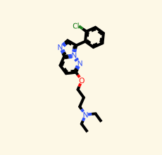 CCN(CC)CCCOc1ccc2ncc(-c3ccccc3Cl)n2n1